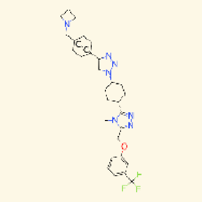 Cn1c(COc2cccc(C(F)(F)F)c2)nnc1[C@H]1CC[C@H](n2cc(C34CCC(CN5CCC5)(CC3)CC4)nn2)CC1